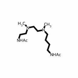 CC(=O)NCCCCN(C)CCN(C)CCNC(C)=O